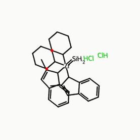 CC1=Cc2ccccc2[CH]1[Zr](=[SiH2])([CH]1CCCCC1)([CH]1CCCCC1)[CH]1C(C)=Cc2ccccc21.Cl.Cl